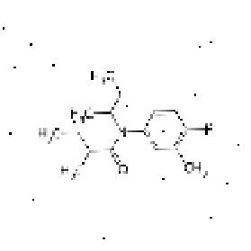 CCC(C)C(=O)N(c1ccc(F)c(C)c1)C(C)CC